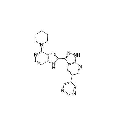 c1ncc(-c2cnc3[nH]nc(-c4cc5c(N6CCCCC6)nccc5[nH]4)c3c2)cn1